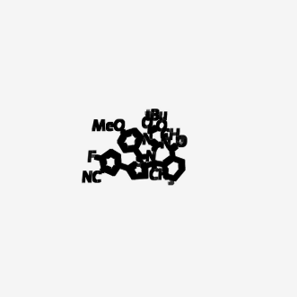 COc1ccc(CN2/C(=N/C(=O)OC(C)(C)C)N(C)C(=O)C3=C(CCC=C3)C2(C)c2ccc(-c3ccc(F)c(C#N)c3)s2)cc1